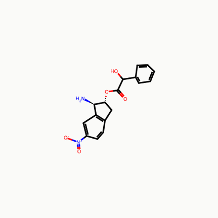 N[C@@H]1c2cc([N+](=O)[O-])ccc2C[C@H]1OC(=O)C(O)c1ccccc1